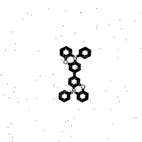 c1ccc(N2c3ccccc3Oc3cc(-c4ccc5c(c4)Oc4ccccc4N5c4ccccc4)ccc32)cc1